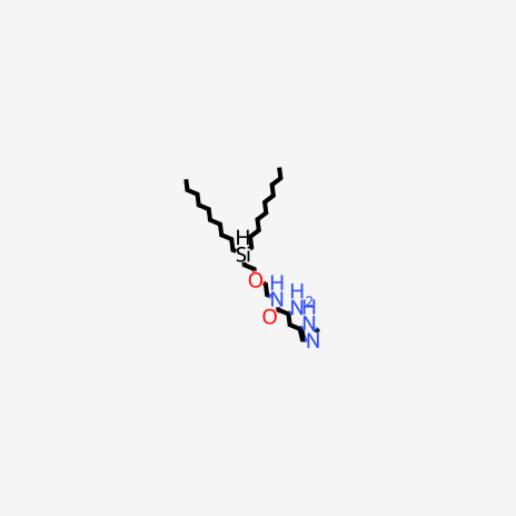 CCCCCCCCCC[SiH](CCCCCCCCCC)CCOCCNC(=O)C(N)Cc1cnc[nH]1